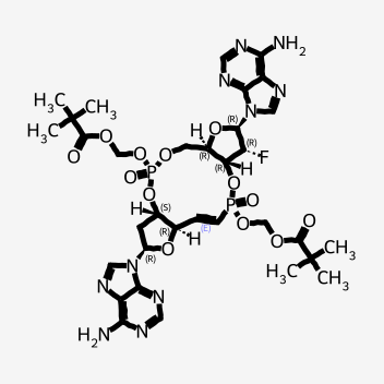 CC(C)(C)C(=O)OCOP1(=O)/C=C/[C@H]2O[C@@H](n3cnc4c(N)ncnc43)C[C@@H]2OP(=O)(OCOC(=O)C(C)(C)C)OC[C@H]2O[C@@H](n3cnc4c(N)ncnc43)[C@H](F)[C@@H]2O1